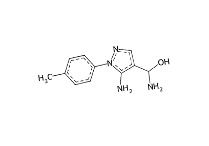 Cc1ccc(-n2ncc(C(N)O)c2N)cc1